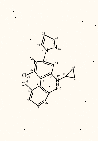 Fc1cccc(Cl)c1-c1c(NC2CC2)cc(-n2cccn2)nc1Cl